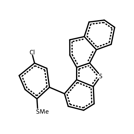 CSc1ccc(Cl)cc1-c1cccc2sc3c4ccccc4ccc3c12